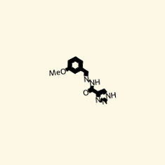 COc1cccc(C=NNC(=O)c2c[nH]nn2)c1